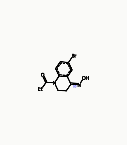 CCC(=O)N1CC/C(=N/O)c2cc(Br)ccc21